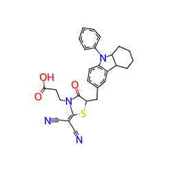 N#CC(C#N)=C1SC(Cc2ccc3c(c2)C2CCCCC2N3c2ccccc2)C(=O)N1CCC(=O)O